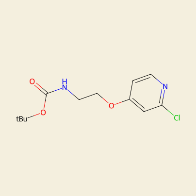 CC(C)(C)OC(=O)NCCOc1ccnc(Cl)c1